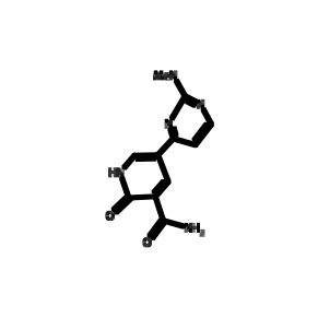 CNc1nccc(-c2c[nH]c(=O)c(C(N)=O)c2)n1